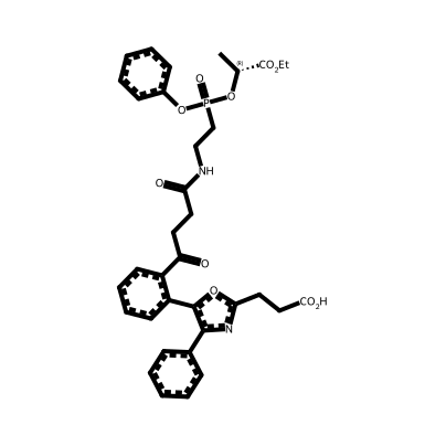 CCOC(=O)[C@@H](C)OP(=O)(CCNC(=O)CCC(=O)c1ccccc1-c1oc(CCC(=O)O)nc1-c1ccccc1)Oc1ccccc1